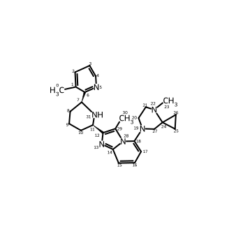 Cc1cccnc1[C@@H]1CCC[C@H](c2nc3cccc(N4CCN(C)C5(CC5)C4)n3c2C)N1